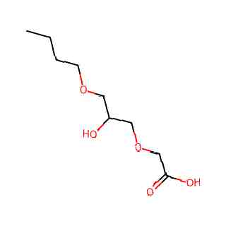 CCCCOCC(O)COCC(=O)O